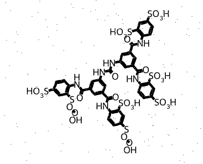 O=C(Nc1cc(C(=O)Nc2ccc(S(=O)(=O)O)cc2SOOO)cc(C(=O)Nc2ccc(SOOO)cc2S(=O)(=O)O)c1)Nc1cc(C(=O)Nc2ccc(S(=O)(=O)O)cc2S(=O)(=O)O)cc(C(=O)Nc2ccc(S(=O)(=O)O)cc2S(=O)(=O)O)c1